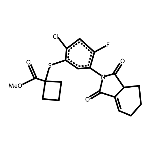 COC(=O)C1(Sc2cc(N3C(=O)C4=CCCCC4C3=O)c(F)cc2Cl)CCC1